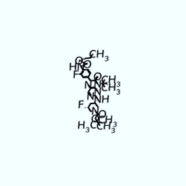 CCCS(=O)(=O)Nc1ccc(-c2nc3cnc(N[C@H]4C[C@@H](CF)CN(C(=O)OC(C)(C)C)C4)nc3n(C(C)C)c2=O)cc1F